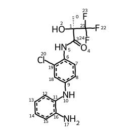 C[C@@](O)(C(=O)Nc1ccc(Nc2ccccc2N)cc1Cl)C(F)(F)F